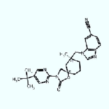 CC(C)(C)c1cnc(N2C[C@@]3(CCC[C@](C)(Cn4cnc5ccc(C#N)cc54)C3)OC2=O)nc1